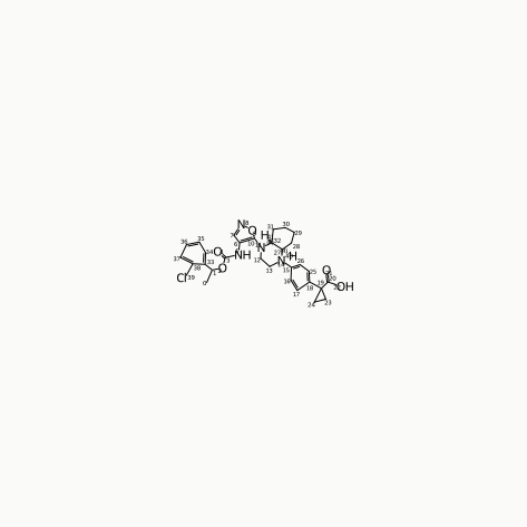 CC(OC(=O)Nc1cnoc1N1CCN(c2ccc(C3(C(=O)O)CC3)cc2)[C@@H]2CCCC[C@H]21)c1ccccc1Cl